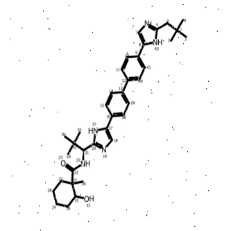 CC(C)(C)Cc1ncc(-c2ccc(-c3ccc(-c4cnc([C@@H](NC(=O)C5(C)CCCCC5O)C(C)(C)C)[nH]4)cc3)cc2)[nH]1